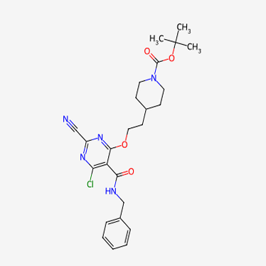 CC(C)(C)OC(=O)N1CCC(CCOc2nc(C#N)nc(Cl)c2C(=O)NCc2ccccc2)CC1